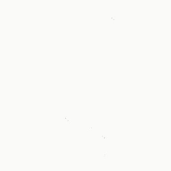 O=C1CCC(N2Cc3c(OCc4ccc(CN5CCOCC5)cc4F)cccc3C2=O)C(=O)N1